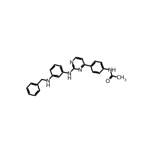 CC(=O)Nc1ccc(-c2ccnc(Nc3cccc(NCc4ccccc4)c3)n2)cc1